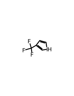 FC(F)(F)C1=C[IH]C=C1